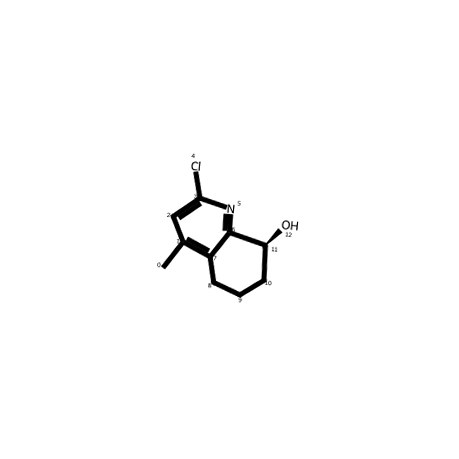 Cc1cc(Cl)nc2c1CCC[C@@H]2O